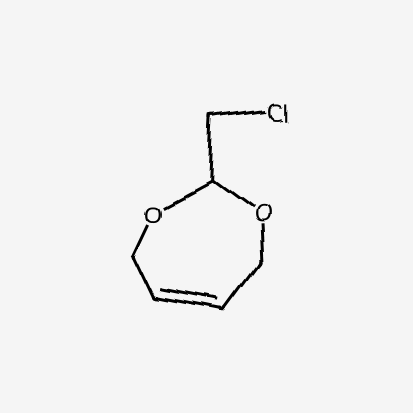 ClCC1OCC=CCO1